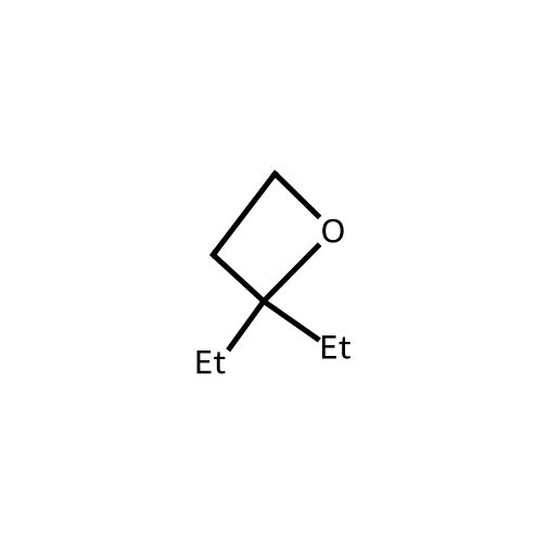 CCC1(CC)CCO1